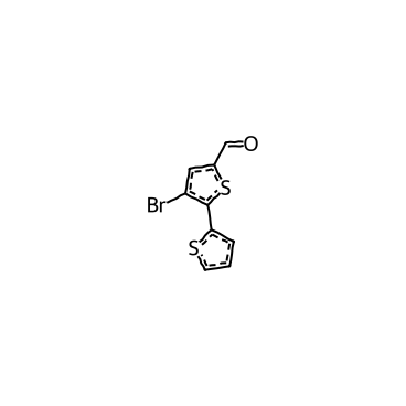 O=Cc1cc(Br)c(-c2cccs2)s1